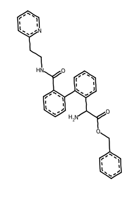 NC(C(=O)OCc1ccccc1)c1ccccc1-c1ccccc1C(=O)NCCc1ccccn1